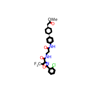 COC(=O)C[C@H]1CC[C@H](c2ccc(NC(=O)CCNC(=O)c3nc(-c4ccccc4Cl)oc3C(F)(F)F)cc2)CC1